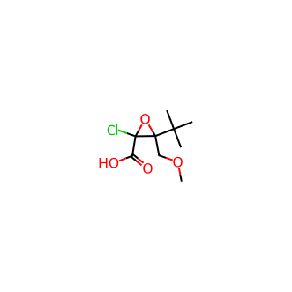 COCC1(C(C)(C)C)OC1(Cl)C(=O)O